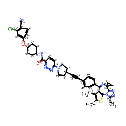 Cc1sc2c(c1C)C(c1ccc(C#CC3CCN(c4ccc(C(=O)N[C@H]5CC[C@H](Oc6ccc(C#N)c(Cl)c6)CC5)nn4)CC3)cc1)=NC1(CC1)c1nnc(C)n1-2